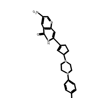 N#Cc1ccc(N2CCN(C3C=C(c4cc5ncc([N+](=O)[O-])cc5c(=O)[nH]4)CC3)CC2)cc1